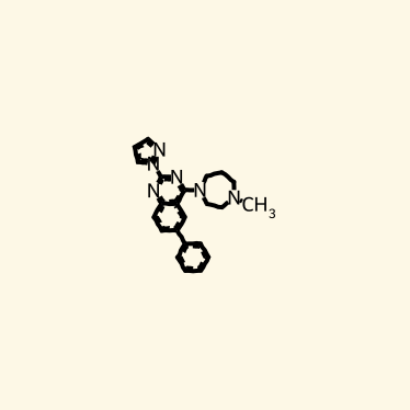 CN1CCCN(c2nc(-n3cccn3)nc3ccc(-c4ccccc4)cc23)CC1